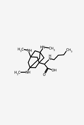 CCCCNC(C(=O)O)C12CC3(NC)CC(NC)(CC(NC)(C3)C1)C2